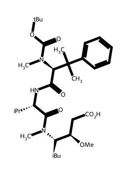 CC[C@H](C)[C@@H]([C@@H](CC(=O)O)OC)N(C)C(=O)[C@@H](NC(=O)[C@@H](N(C)C(=O)OC(C)(C)C)C(C)(C)c1ccccc1)C(C)C